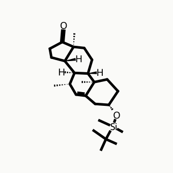 C[C@H]1C=C2C[C@@H](O[Si](C)(C)C(C)(C)C)CC[C@]2(C)[C@H]2CC[C@]3(C)C(=O)CC[C@H]3[C@H]12